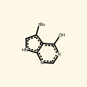 CC(C)(C)c1c[nH]c2ncnc(O)c12